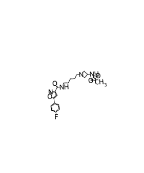 CS(=O)(=O)NC1CN(CCCCCNC(=O)c2cc(-c3ccc(F)cc3)on2)C1